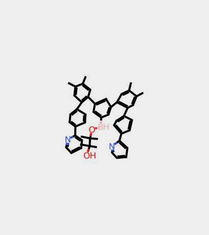 Cc1cc(-c2ccc(-c3ccccn3)cc2)c(-c2cc(BOC(C)(C)C(C)(C)O)cc(-c3cc(C)c(C)cc3-c3ccc(-c4ccccn4)cc3)c2)cc1C